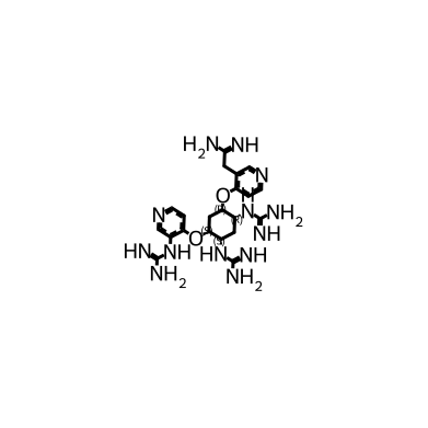 N=C(N)Cc1cnccc1O[C@@H]1C[C@H](Oc2ccncc2NC(=N)N)[C@@H](NC(=N)N)C[C@H]1NC(=N)N